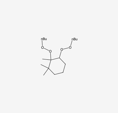 CCCCOOC1CCCC(C)(C)C1(C)OOCCCC